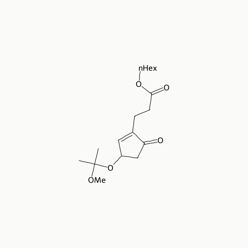 CCCCCCOC(=O)CCC1=CC(OC(C)(C)OC)CC1=O